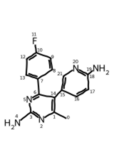 Cc1nc(N)nc(-c2ccc(F)cc2)c1-c1ccc(N)nc1